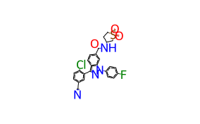 N#Cc1ccc(Cl)c(-c2nn(-c3ccc(F)cc3)c3cc(C(=O)NC4CCS(=O)(=O)C4)ccc23)c1